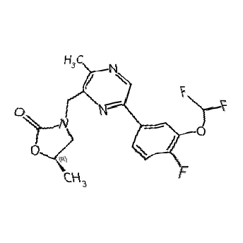 Cc1ncc(-c2ccc(F)c(OC(F)F)c2)nc1CN1C[C@@H](C)OC1=O